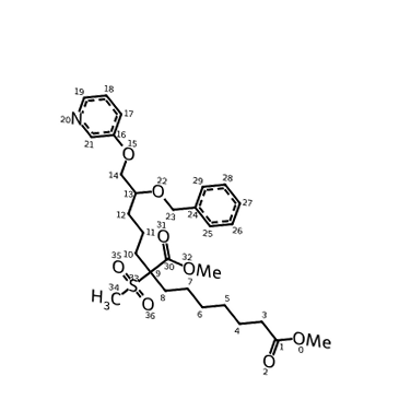 COC(=O)CCCCCCC(CCCC(COc1cccnc1)OCc1ccccc1)(C(=O)OC)S(C)(=O)=O